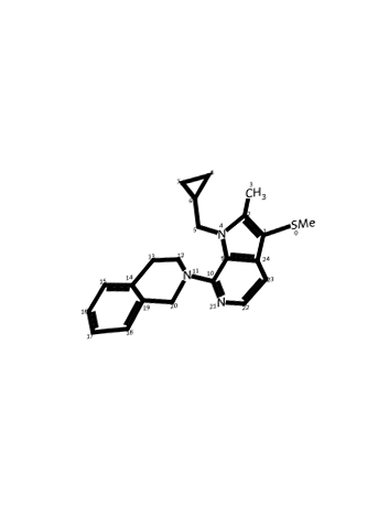 CSc1c(C)n(CC2CC2)c2c(N3CCc4ccccc4C3)nccc12